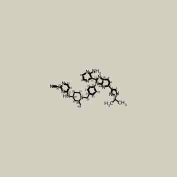 CC(C)n1ncc(-c2ccc3nc(-c4nccnc4N)n(-c4ccc(CN5CCC(Nc6ccnc(C#N)n6)CC5I)cc4)c3n2)n1